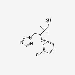 CC(C)(CS)C(O)Cn1cncn1.Clc1ccccc1